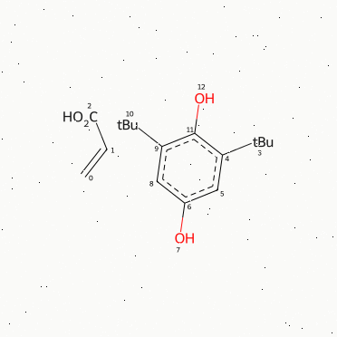 C=CC(=O)O.CC(C)(C)c1cc(O)cc(C(C)(C)C)c1O